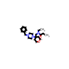 CCC(=O)N(CC)CC1(N2CCN(Cc3ccccc3)CC2)CCOCC1